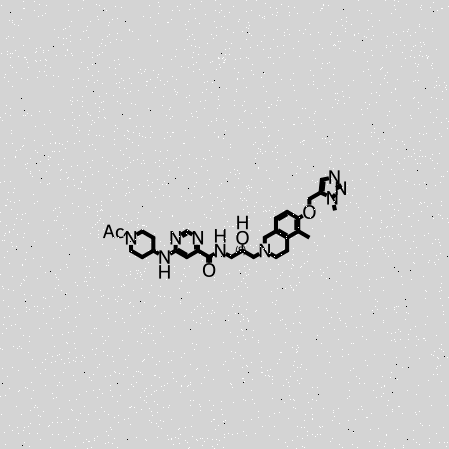 CC(=O)N1CCC(Nc2cc(C(=O)NC[C@H](O)CN3CCc4c(ccc(OCc5cnnn5C)c4C)C3)ncn2)CC1